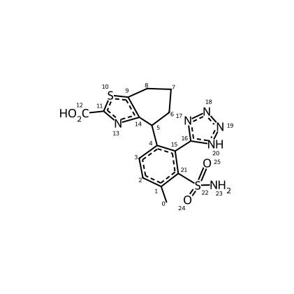 Cc1ccc(C2CCCc3sc(C(=O)O)nc32)c(-c2nnn[nH]2)c1S(N)(=O)=O